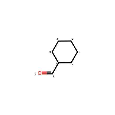 O=CC1[CH]CCCC1